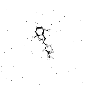 CC1(F)CC=CC(Cl)=C1CC[C@H]1COC(N)=N1